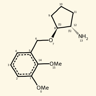 COc1cccc(CO[C@H]2CCC[C@@H]2N)c1OC